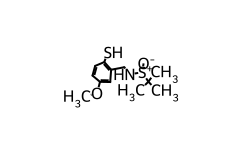 COc1ccc(S)c(CN[S+]([O-])C(C)(C)C)c1